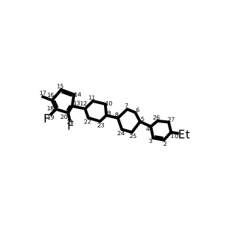 CCC1C=CC(C2CCC(C3CCC(c4ccc(C)c(F)c4F)CC3)CC2)CC1